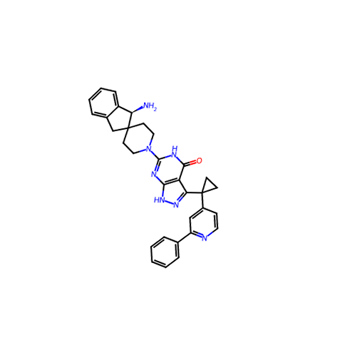 N[C@@H]1c2ccccc2CC12CCN(c1nc3[nH]nc(C4(c5ccnc(-c6ccccc6)c5)CC4)c3c(=O)[nH]1)CC2